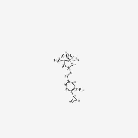 CC1(C)OB(/C=C/c2ccc(C3CO3)c(F)c2)OC1(C)C